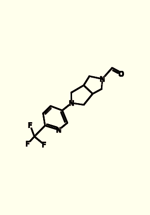 O=CN1CC2CN(c3ccc(C(F)(F)F)nc3)CC2C1